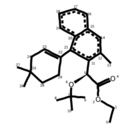 CCOC(=O)[C@@H](OC(C)(C)C)c1c(C)cc2ccccc2c1C1=CCC(C)(C)CC1